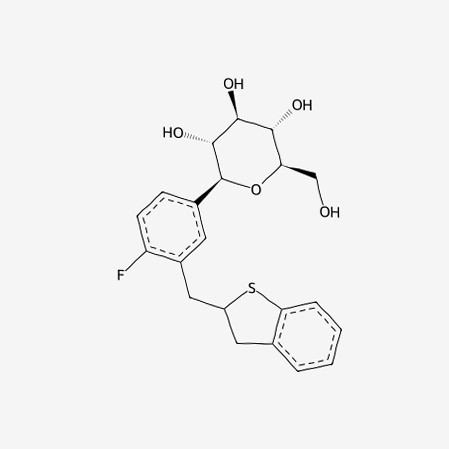 OC[C@H]1O[C@@H](c2ccc(F)c(CC3Cc4ccccc4S3)c2)[C@H](O)[C@@H](O)[C@@H]1O